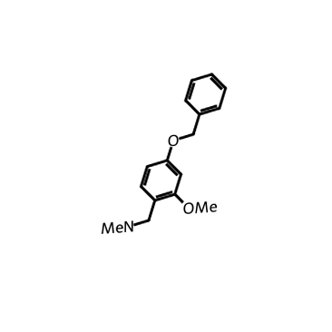 CNCc1ccc(OCc2ccccc2)cc1OC